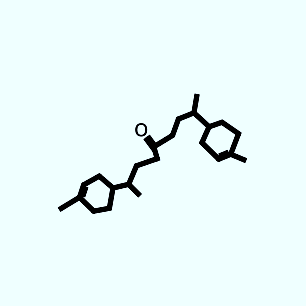 CC1=CCC(C(C)CCC(=O)CCC(C)C2CC=C(C)CC2)CC1